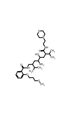 COCCCOc1ccccc1C(=O)NCC(CC(N)C(O)CC(C(=O)NCCN1CCOCC1)C(C)C)C(C)C